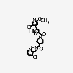 COc1cc(-c2cc(C(=O)N3CCC(C(=O)NCc4ncccc4Cl)CC3)n[nH]2)c(Cl)cn1